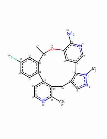 CCn1ncc2c1-c1cnc(N)c(c1)OC(C)c1cc(F)ccc1-c1ccnc(C#N)c1C2